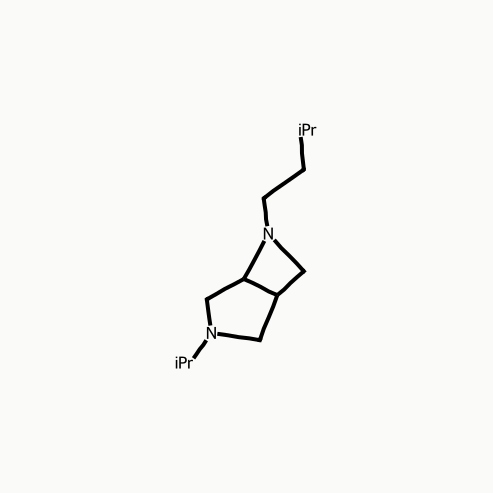 CC(C)CCN1CC2CN(C(C)C)CC21